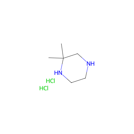 CC1(C)CNCCN1.Cl.Cl